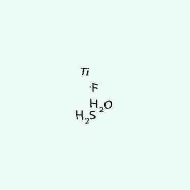 O.S.[F].[Ti]